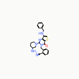 N#Cc1ccccc1Cn1c(N2CCCC(N)C2)nc2c(NCc3ccccc3)csc2c1=O